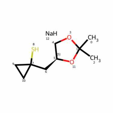 CC1(C)OC[C@H](CC2(S)CC2)O1.[NaH]